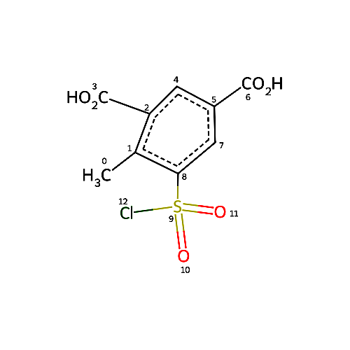 Cc1c(C(=O)O)cc(C(=O)O)cc1S(=O)(=O)Cl